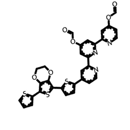 O=COc1ccnc(-c2cc(OC=O)cc(-c3cc(-c4ccc(-c5sc(-c6cccs6)c6c5OCCO6)s4)ccn3)n2)c1